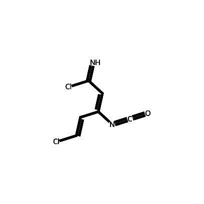 N=C(Cl)/C=C(\C=C\Cl)N=C=O